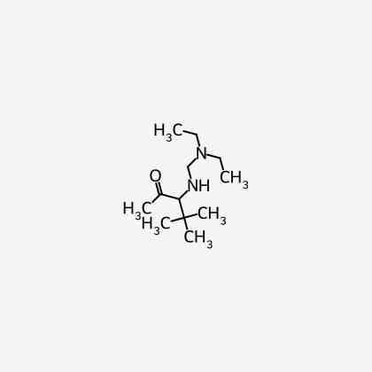 CCN(CC)CNC(C(C)=O)C(C)(C)C